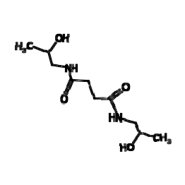 CC(O)CNC(=O)CCC(=O)NCC(C)O